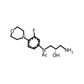 CC(=O)N(C[C@@H](O)CN)c1ccc(N2CCOCC2)c(F)c1